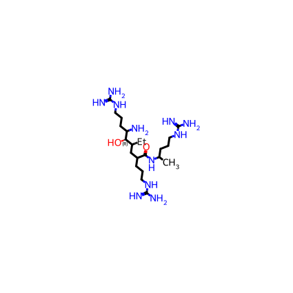 CCC(CC(CCCNC(=N)N)C(=O)NC(C)CCCNC(=N)N)[C@@H](O)C(N)CCCNC(=N)N